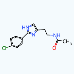 CC(=O)NCCc1c[nH]c(-c2ccc(Cl)cc2)n1